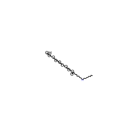 CCCCCCCC/C=C\CCCCCCCC(=O)OCCOCCOCCOCCOCCOCCOCCOCCO